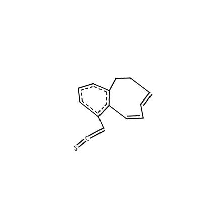 S=C=Cc1cccc2c1/C=C\C=C\CC2